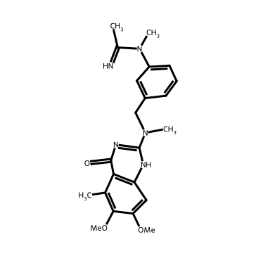 COc1cc2[nH]c(N(C)Cc3cccc(N(C)C(C)=N)c3)nc(=O)c2c(C)c1OC